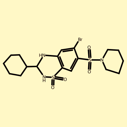 O=S1(=O)NC(C2CCCCC2)Nc2cc(Br)c(S(=O)(=O)N3CCCCC3)cc21